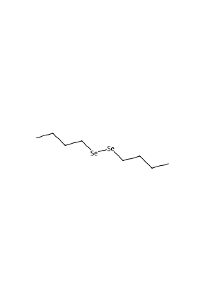 CCCC[Se][Se]CCCC